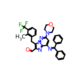 Cc1c(Cc2c(C=O)nc3c(N=C(c4ccccc4)c4ccccc4)cc(N4CCOCC4)nn23)cccc1C(F)(F)F